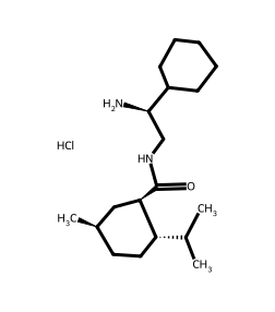 CC(C)[C@@H]1CC[C@@H](C)C[C@H]1C(=O)NC[C@@H](N)C1CCCCC1.Cl